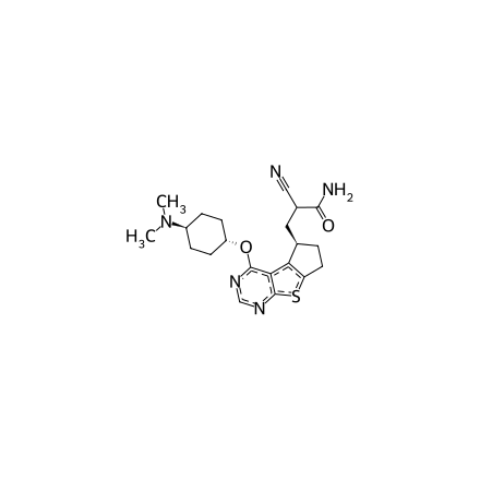 CN(C)[C@H]1CC[C@H](Oc2ncnc3sc4c(c23)[C@@H](CC(C#N)C(N)=O)CC4)CC1